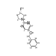 F[C@H]1CCN(c2ncc(OCc3ccccc3)cn2)C1